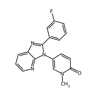 Cn1cc(-n2c(-c3cccc(F)c3)nc3cccnc32)ccc1=O